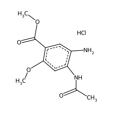 COC(=O)c1cc(N)c(NC(C)=O)cc1OC.Cl